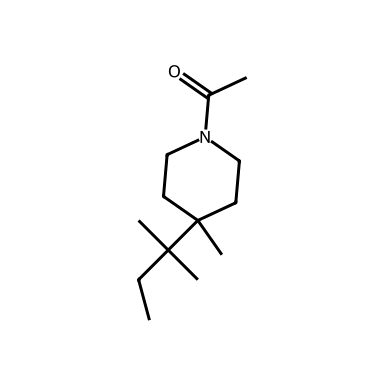 CCC(C)(C)C1(C)CCN(C(C)=O)CC1